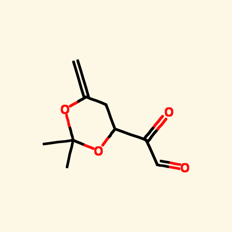 C=C1CC(C(=O)C=O)OC(C)(C)O1